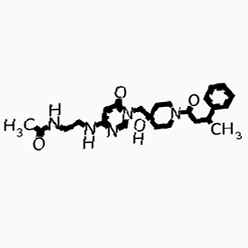 CC(=O)NCCNc1cc(=O)n(CC2(O)CCN(C(=O)CC(C)c3ccccc3)CC2)cn1